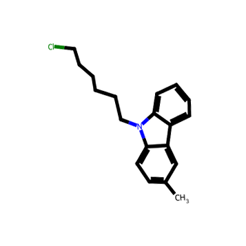 Cc1ccc2c(c1)c1ccccc1n2CCCCCCCl